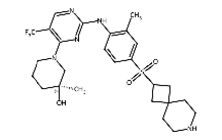 Cc1cc(S(=O)(=O)C2CC3(CCNCC3)C2)ccc1Nc1ncc(C(F)(F)F)c(N2CCC[C@](C)(O)C2)n1